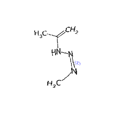 C=C(C)N/N=N\C